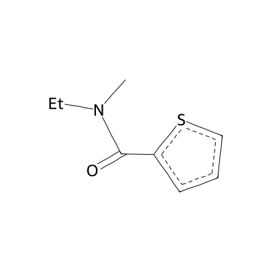 CCN(C)C(=O)c1cccs1